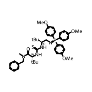 COc1ccc(P(=NC[C@@H](NC(=S)N[C@@H](C(=O)N(C)Cc2ccccc2)C(C)(C)C)C(C)(C)C)(c2ccc(OC)cc2)c2ccc(OC)cc2)cc1